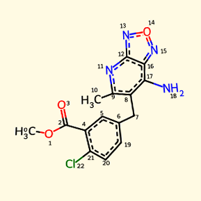 COC(=O)c1cc(Cc2c(C)nc3nonc3c2N)ccc1Cl